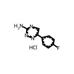 Cl.Nc1ncc(-c2ccc(F)cc2)nn1